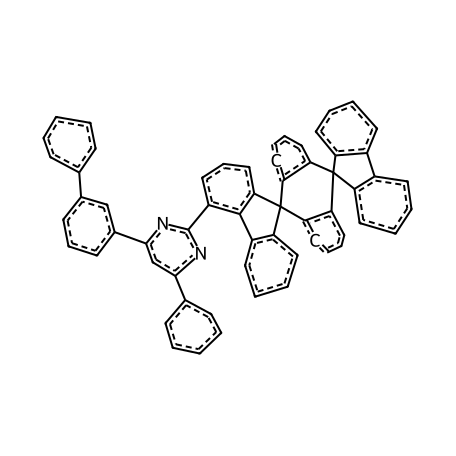 c1ccc(-c2cccc(-c3cc(-c4ccccc4)nc(-c4cccc5c4-c4ccccc4C54c5ccccc5C5(c6ccccc6-c6ccccc65)c5ccccc54)n3)c2)cc1